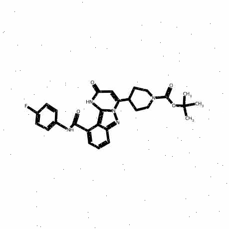 CC(C)(C)OC(=O)N1CCC(c2cc(=O)[nH]c3c4c(C(=O)Nc5ccc(F)cc5)cccc4nn23)CC1